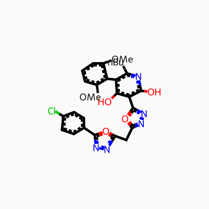 CCCCc1nc(O)c(-c2nnc(Cc3nnc(-c4ccc(Cl)cc4)o3)o2)c(O)c1-c1c(OC)cccc1OC